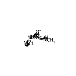 Cn1ncc(CSCCNC(=C[N+](=O)[O-])NCCSCc2ncccc2Cl)n1